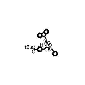 C[C@H](c1ccc(C(=O)OC(C)(C)C)cc1)[C@H](NC(=O)OCC1c2ccccc2-c2ccccc21)C(=O)OCc1ccccc1